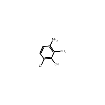 N#Cc1c(Cl)ccc(N)c1N